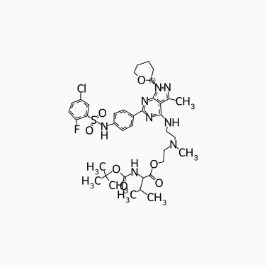 Cc1nn([C@@H]2CCCCO2)c2nc(-c3ccc(NS(=O)(=O)c4cc(Cl)ccc4F)cc3)nc(NCCN(C)CCOC(=O)C(NC(=O)OC(C)(C)C)C(C)C)c12